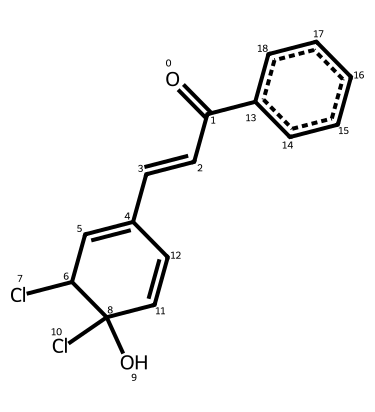 O=C(C=CC1=CC(Cl)C(O)(Cl)C=C1)c1ccccc1